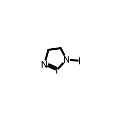 IN1CCN=I1